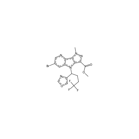 COC(=O)c1nn(C)c2c3ncc(Br)cc3n(C(CCC(F)(F)F)c3cocn3)c12